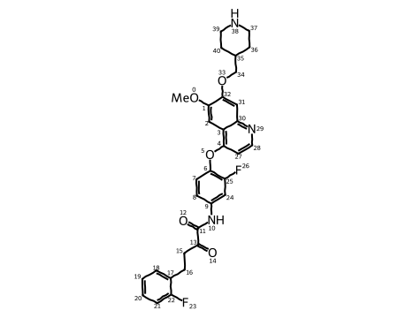 COc1cc2c(Oc3ccc(NC(=O)C(=O)CCc4ccccc4F)cc3F)ccnc2cc1OCC1CCNCC1